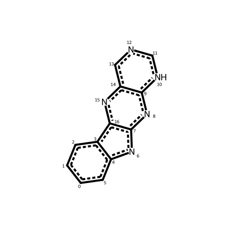 c1ccc2c(c1)nc1nc3[nH]cncc3nc12